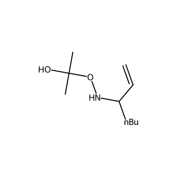 C=CC(CCCC)NOC(C)(C)O